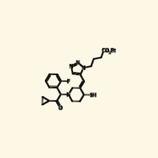 CCOC(=O)CCCn1nncc1/C=C1\CN(C(C(=O)C2CC2)c2ccccc2F)CCC1S